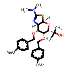 COc1ccc(CO[C@@H]2[C@H]3N=C(N(C)C)S[C@H]3O[C@H](C(C)(C)O)[C@@H]2OCc2ccc(OC)cc2)cc1